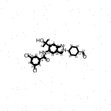 CC(C)(O)c1cc2nn([C@H]3CC[C@H](C=O)CC3)cc2cc1NC(=O)c1cc(Cl)cc(Cl)c1